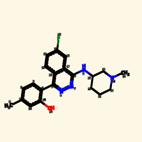 Cc1ccc(-c2nnc(NC3CCCN(C)C3)c3cc(F)ccc23)c(O)c1